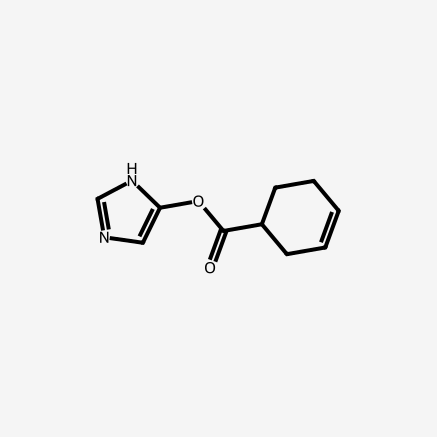 O=C(Oc1cnc[nH]1)C1CC=CCC1